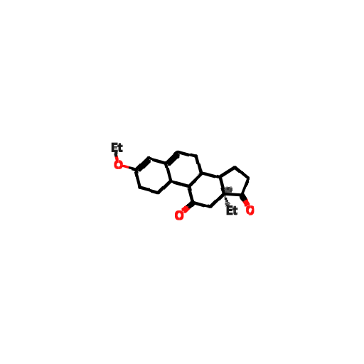 CCOC1=CC2=CCC3C(C(=O)C[C@]4(CC)C(=O)CCC34)C2CC1